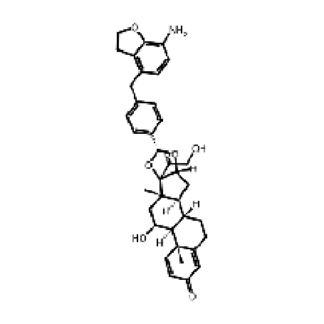 C[C@]12C=CC(=O)C=C1CC[C@@H]1[C@@H]2[C@@H](O)C[C@@]2(C)[C@H]1C[C@H]1O[C@@H](c3ccc(Cc4ccc(N)c5c4CCO5)cc3)O[C@]12C(=O)CO